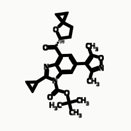 Cc1noc(C)c1-c1cc(C(=O)[C@H]2CCC3(CC3)O2)c2nc(C3CC3)n(C(=O)OC(C)(C)C)c2c1